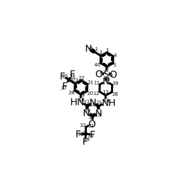 N#Cc1cccc(S(=O)(=O)N2CCC(Nc3nc(Nc4cccc(C(F)(F)F)c4)nc(OCC(F)(F)F)n3)CC2)c1